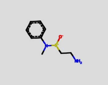 CN(c1ccccc1)[S+]([O-])CCN